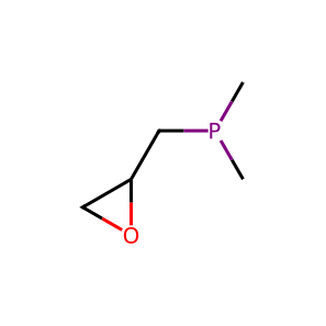 CP(C)CC1CO1